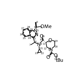 C=C(OC)n1nc(C(C)N(C(=O)[C@H]2CN(C(=O)OC(C)(C)C)CCO2)C2CC2)c2ccccc21